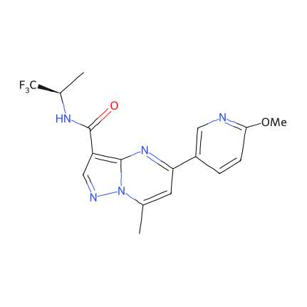 COc1ccc(-c2cc(C)n3ncc(C(=O)N[C@H](C)C(F)(F)F)c3n2)cn1